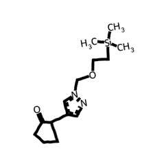 C[Si](C)(C)CCOCn1cc(C2CCCC2=O)cn1